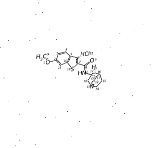 COc1ccc2cc(C(=O)N[C@@H]3CN4CCC3CC4)sc2c1.Cl